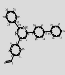 C=Cc1ccc(-c2cc(-c3ccc(-c4ccccc4)cc3)nc(-c3ccccc3)n2)cc1